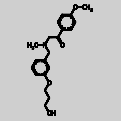 COc1ccc(C(=O)CN(C)Cc2cccc(OCCCO)c2)cc1